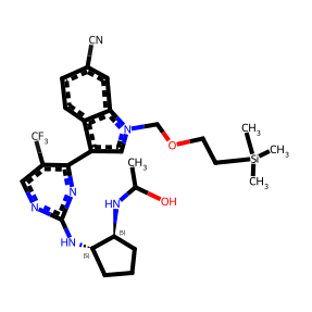 CC(O)N[C@H]1CCC[C@@H]1Nc1ncc(C(F)(F)F)c(-c2cn(COCC[Si](C)(C)C)c3cc(C#N)ccc23)n1